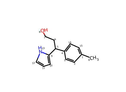 Cc1ccc(C(CCO)c2ccc[nH]2)cc1